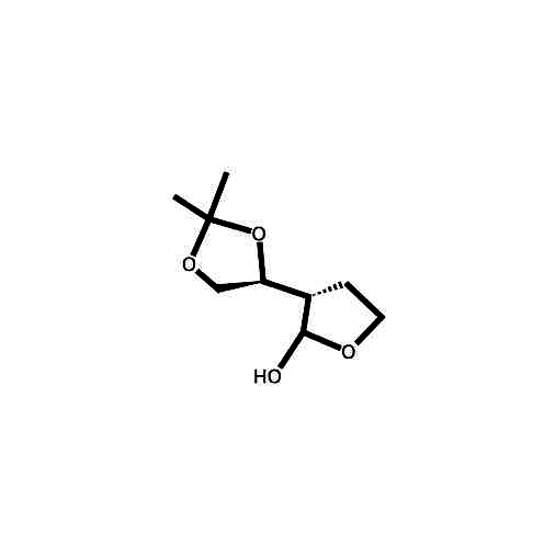 CC1(C)OC[C@H]([C@@H]2CCOC2O)O1